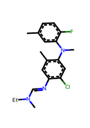 CCN(C)C=Nc1cc(C)c(N(C)c2cc(C)ccc2F)cc1Cl